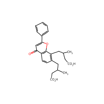 CC(CC(=O)O)Cc1ccc2c(=O)cc(-c3ccccc3)oc2c1CC(C)CC(=O)O